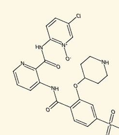 CCS(=O)(=O)c1ccc(C(=O)Nc2cccnc2C(=O)Nc2ccc(Cl)c[n+]2[O-])c(OC2CCNCC2)c1